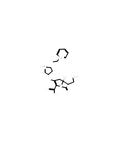 C[C@@H](O)[C@H]1C(=O)N2C(C(=O)Cl)=C(S[C@@H]3CN[C@H](CC[n+]4ccccc4)C3)[C@H](C)[C@H]12